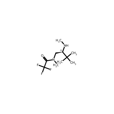 CN[C@H](CN(C)C(=O)C(F)(F)F)C(C)(C)C